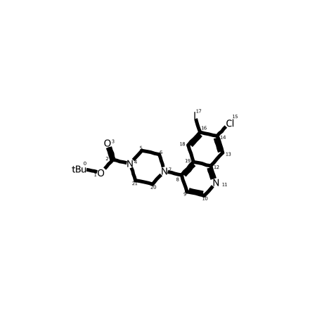 CC(C)(C)OC(=O)N1CCN(c2ccnc3cc(Cl)c(I)cc23)CC1